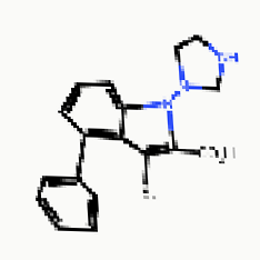 CCc1c(C(=O)O)n(N2CCNC2)c2cccc(-c3ccccc3)c12